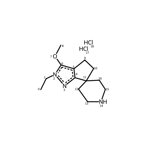 CCn1nc2c(c1OC)CCC21CCNCC1.Cl.Cl